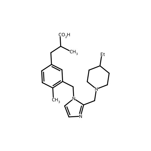 CCC1CCN(Cc2nccn2Cc2cc(CC(C)C(=O)O)ccc2C)CC1